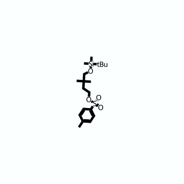 Cc1ccc(S(=O)(=O)OCCC(C)(C)CO[Si](C)(C)C(C)(C)C)cc1